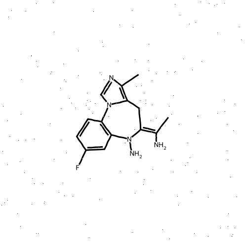 C/C(N)=C1\Cc2c(C)ncn2-c2ccc(F)cc2N1N